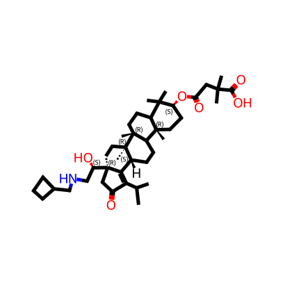 CC(C)C1=C2[C@H]3CCC4[C@@]5(C)CC[C@H](OC(=O)CC(C)(C)C(=O)O)C(C)(C)C5CC[C@@]4(C)[C@]3(C)CC[C@@]2([C@H](O)CNCC2CCC2)CC1=O